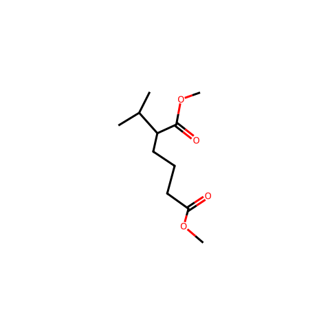 COC(=O)CCCC(C(=O)OC)C(C)C